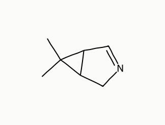 CC1(C)C2C=NCC21